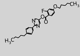 CCCCCOc1ccc(C(=O)Oc2cnc(-c3ccc(CCCCC)cc3)nc2)c(F)c1